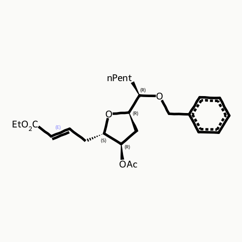 CCCCC[C@@H](OCc1ccccc1)[C@H]1C[C@@H](OC(C)=O)[C@H](C/C=C/C(=O)OCC)O1